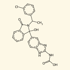 CC(c1cccc(Cl)c1)N1C(=O)c2ccccc2C1(O)c1ccc2[nH]c(NC(=O)O)nc2c1